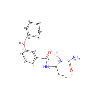 CCC(NC(=O)c1cccc(Oc2ccccc2)c1)N(O)C(N)=O